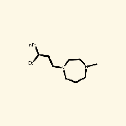 CCCC(CC)CCN1CCCN(C)CC1